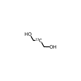 OC[13CH2]CO